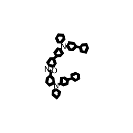 c1ccc(-c2ccc(N(c3ccccc3)c3ccc(-c4ccc5nc(-c6cccc(N(c7ccccc7)c7ccc(-c8ccccc8)cc7)c6)oc5c4)cc3)cc2)cc1